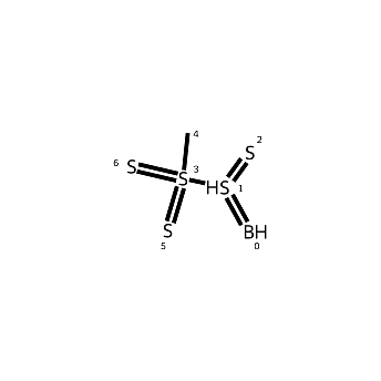 B=[SH](=S)S(C)(=S)=S